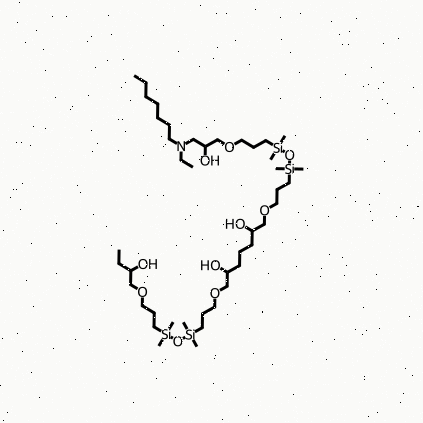 CCCCCCCN(CC)CC(O)COCCC[Si](C)(C)O[Si](C)(C)CCCOCC(O)CCCC(O)COCCC[Si](C)(C)O[Si](C)(C)CCCOCC(O)CC